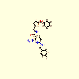 Cc1ccc(CNc2ccc(C(=O)NCc3ccc(Oc4ccccc4)s3)c(N)n2)cc1